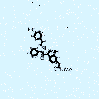 CNC(=O)Cc1ccc2c(C(=O)[C@@H](NCCc3ccc(C#N)cc3)c3ccccc3)c[nH]c2c1